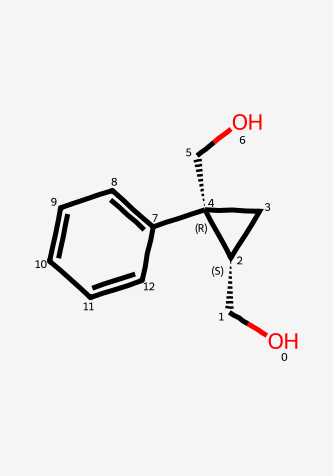 OC[C@H]1C[C@]1(CO)c1ccccc1